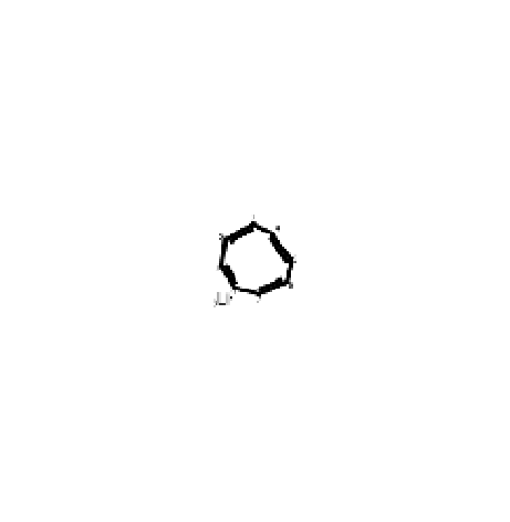 C1=CC=CC=CC=C1.[Li]